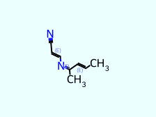 C/C=C/C(C)=N\C=C\C#N